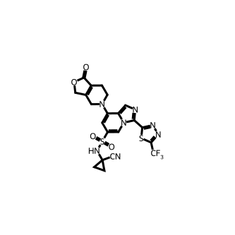 N#CC1(NS(=O)(=O)c2cc(N3CCC4=C(COC4=O)C3)c3cnc(-c4nnc(C(F)(F)F)s4)n3c2)CC1